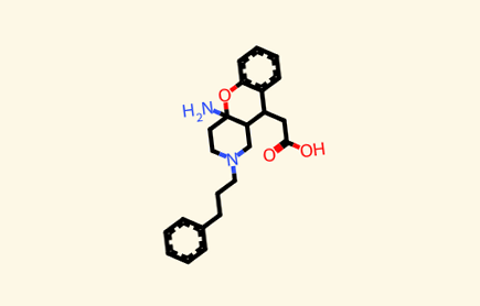 NC12CCN(CCCc3ccccc3)CC1C(CC(=O)O)c1ccccc1O2